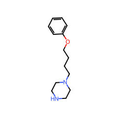 c1ccc(OCCCCN2CCNCC2)cc1